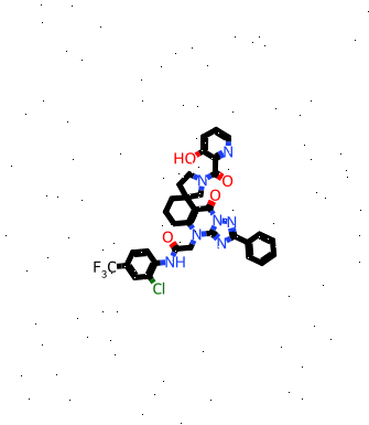 O=C(Cn1c2c(c(=O)n3nc(-c4ccccc4)nc13)C1(CCC2)CCN(C(=O)c2ncccc2O)C1)Nc1ccc(C(F)(F)F)cc1Cl